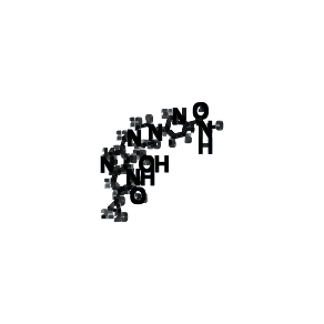 CNC(=O)c1ccc(N2CCN(Cc3cnc4cc(C5CC5)c(=O)[nH]c4c3)[C@@H](CO)C2)cn1